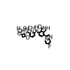 CO[C@H]1C[C@H](Oc2ccc(Nc3ccc(-c4cnc5cc(F)ccn45)c4c3C(=O)NC4)nc2CN(C)C)C1